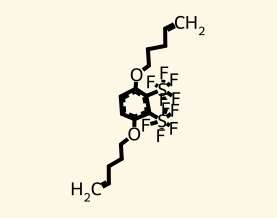 C=CCCCOc1ccc(OCCCC=C)c(S(F)(F)(F)(F)F)c1S(F)(F)(F)(F)F